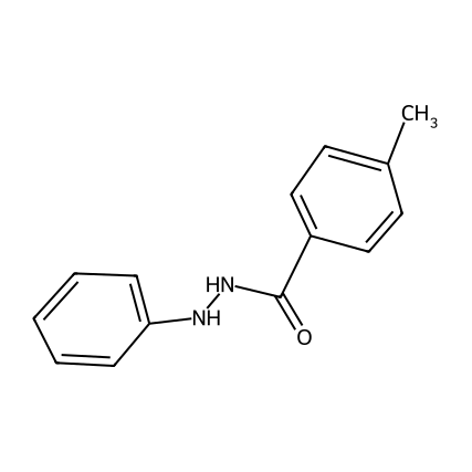 Cc1ccc(C(=O)NNc2ccccc2)cc1